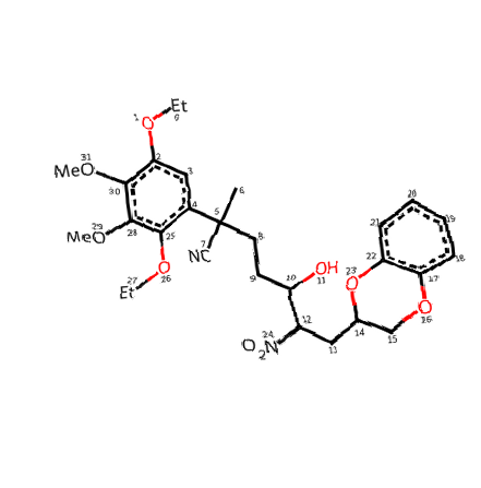 CCOc1cc(C(C)(C#N)CCC(O)C(CC2COc3ccccc3O2)[N+](=O)[O-])c(OCC)c(OC)c1OC